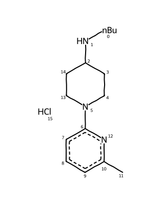 CCCCNC1CCN(c2cccc(C)n2)CC1.Cl